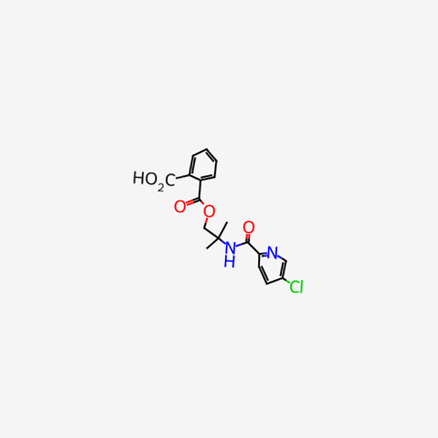 CC(C)(COC(=O)c1ccccc1C(=O)O)NC(=O)c1ccc(Cl)cn1